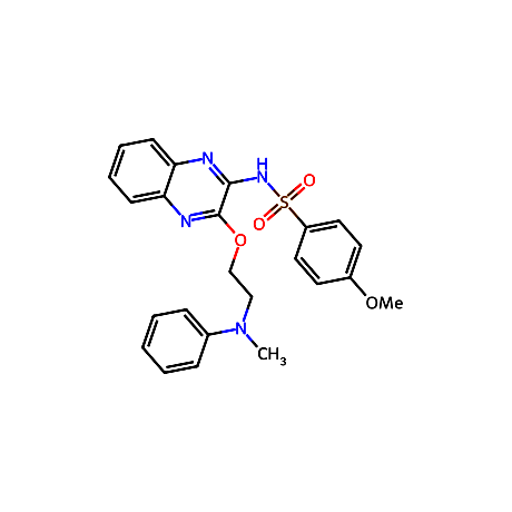 COc1ccc(S(=O)(=O)Nc2nc3ccccc3nc2OCCN(C)c2ccccc2)cc1